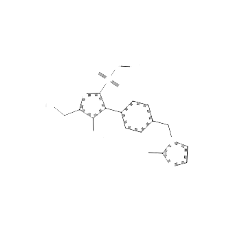 CC(=O)ONS(=O)(=O)c1sc(CC(C)C)c(C)c1-c1ccc(Cn2ccnc2C(C)C)cc1